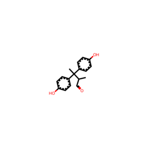 CC(C=O)C(C)(c1ccc(O)cc1)c1ccc(O)cc1